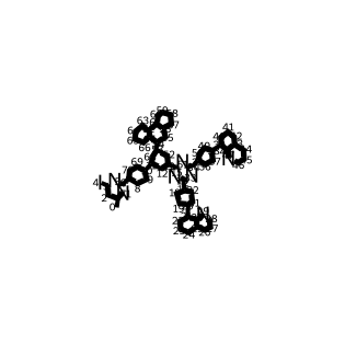 Cc1cc(I)nc(-c2ccc(-c3cc(-c4nc(-c5ccc(-c6cccc7cccnc67)cc5)nc(-c5ccc(-c6cccc7cccnc67)cc5)n4)cc(-c4cc5ccccc5c5ccccc45)c3)cc2)n1